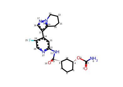 NC(=O)O[C@@H]1CCC[C@H](C(=O)Nc2cc(-c3cnn4c3CCCC4)c(F)cn2)C1